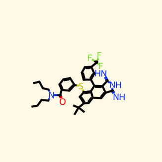 CCCCN(CCCC)C(=O)c1cccc(Sc2cc(C(C)(C)C)cc3cc4c(c(-c5cccc(C(F)(F)F)c5)c23)C(=N)NC4=N)c1